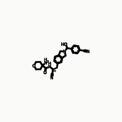 N#Cc1ccc(C(O)N2Cc3ccc(C[C@@H](C#N)NC(=O)C4(N)CCOCC4)cc3C2)cc1